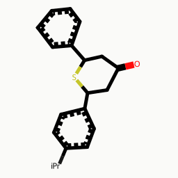 CC(C)c1ccc(C2CC(=O)CC(c3ccccc3)S2)cc1